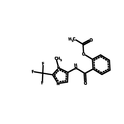 CC(=O)Oc1ccccc1C(=O)Nc1cnc(C(F)(F)F)n1C